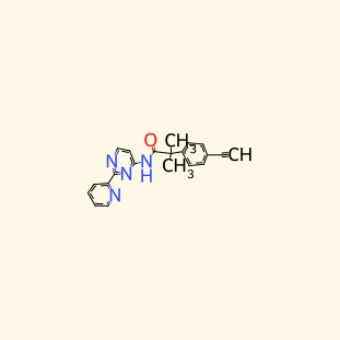 C#Cc1ccc(C(C)(C)C(=O)Nc2ccnc(-c3ccccn3)n2)cc1